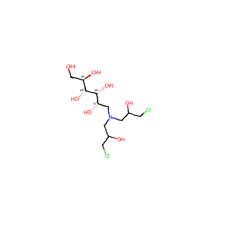 OC[C@@H](O)[C@@H](O)[C@H](O)[C@@H](O)CN(CC(O)CCl)CC(O)CCl